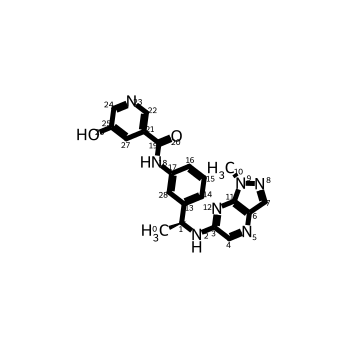 C[C@H](Nc1cnc2cnn(C)c2n1)c1cccc(NC(=O)c2cncc(O)c2)c1